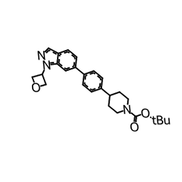 CC(C)(C)OC(=O)N1CCC(c2ccc(-c3ccc4cnn(C5COC5)c4c3)cc2)CC1